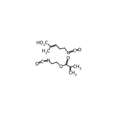 C=C(C)C(=O)OCCN=C=O.CC(=CCCN=C=O)C(=O)O